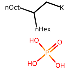 CCCCCCCCC([CH2][K])CCCCCC.O=P(O)(O)O